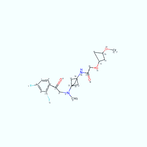 O=CN(CC(=O)c1ccc(F)cc1F)C12CC(NC(=O)COC3CC(OC(F)(F)F)C3)(C1)C2